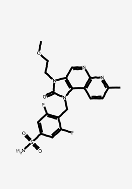 COCCn1c(=O)n(Cc2c(F)cc(S(N)(=O)=O)cc2F)c2c3ccc(C)nc3ncc21